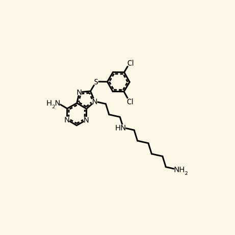 NCCCCCCNCCCn1c(Sc2cc(Cl)cc(Cl)c2)nc2c(N)ncnc21